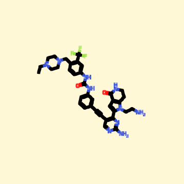 CCN1CCN(Cc2ccc(NC(=O)Nc3cccc(C#Cc4cnc(N)nc4-c4cc5c(n4CCN)CCNC5=O)c3)cc2C(F)(F)F)CC1